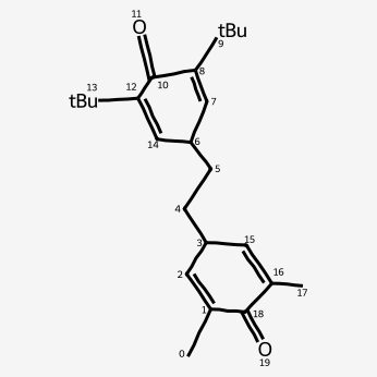 CC1=CC(CCC2C=C(C(C)(C)C)C(=O)C(C(C)(C)C)=C2)C=C(C)C1=O